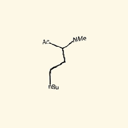 CCCCCCC(NC)C(C)=O